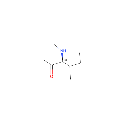 CCC(C)[C@H](NC)C(C)=O